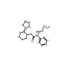 O=C(O)CNN(C(=O)CC1CCCCC1N1CCCC1)c1ccccc1